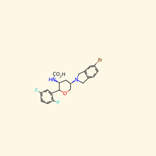 O=C(O)N[C@H]1C[C@@H](N2Cc3ccc(Br)cc3C2)COC1c1cc(F)ccc1F